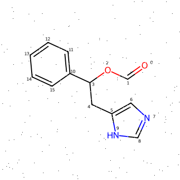 O=COC(Cc1cnc[nH]1)c1ccccc1